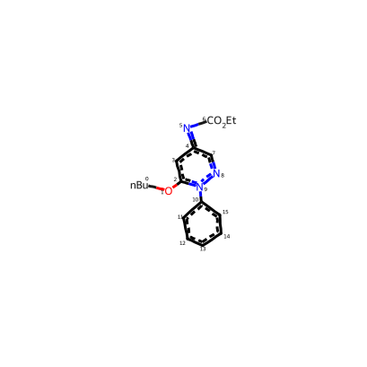 CCCCOc1cc(=NC(=O)OCC)cnn1-c1ccccc1